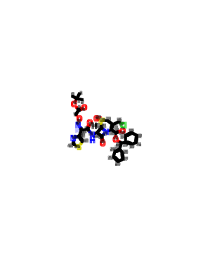 CC(C)(C)OC(=O)CO/N=C(\C(=O)NC1C(=O)N2C(C(=O)OC(c3ccccc3)c3ccccc3)=C(CCl)C[S+]([O-])[C@H]12)c1cscn1